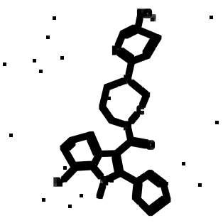 Cn1c(-c2ccccc2)c(C(=O)N2CCCN(c3ccc([N+](=O)[O-])cn3)CC2)c2cccc(Br)c21